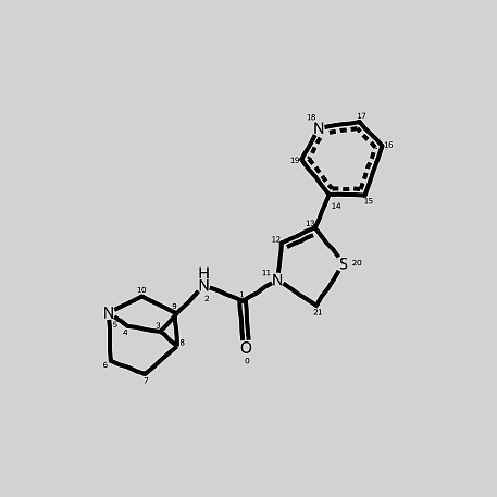 O=C(NC1CN2CCC1CC2)N1C=C(c2cccnc2)SC1